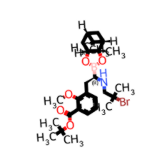 COc1c(C[C@H](NCC(C)(C)Br)B2O[C@@H]3C[C@@H]4C[C@@H](C4(C)C)[C@]3(C)O2)cccc1C(=O)OC(C)(C)C